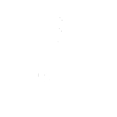 CC1(C)c2cc(-c3ccccc3)ccc2-c2ccc(-c3ccc4oc5c(-c6cc(-c7ccccc7)nc(-c7ccccc7)n6)cccc5c4c3)cc21